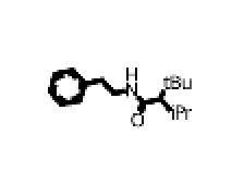 CC(C)C(C(=O)NCCc1ccccc1)C(C)(C)C